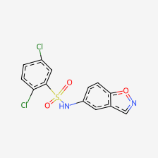 O=S(=O)(Nc1ccc2oncc2c1)c1cc(Cl)ccc1Cl